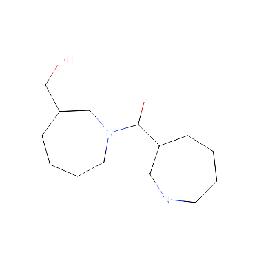 OCC1CCCCN(C(O)C2CCCCNC2)C1